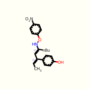 C/C=C(/C=C(\CCCC)NOc1ccc([N+](=O)[O-])cc1)c1ccc(O)cc1